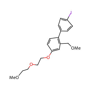 COCCOCCOc1ccc(-c2ccc(I)cc2)c(COC)c1